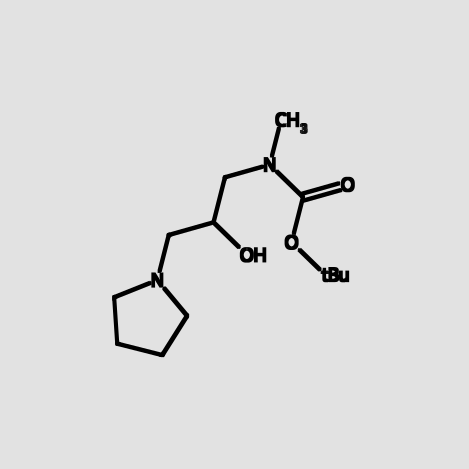 CN(CC(O)CN1CCCC1)C(=O)OC(C)(C)C